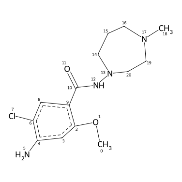 COc1cc(N)c(Cl)cc1C(=O)NN1CCCN(C)CC1